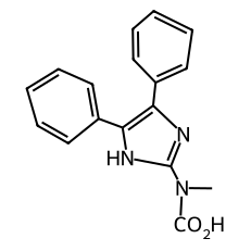 CN(C(=O)O)c1nc(-c2ccccc2)c(-c2ccccc2)[nH]1